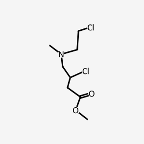 COC(=O)CC(Cl)CN(C)CCCl